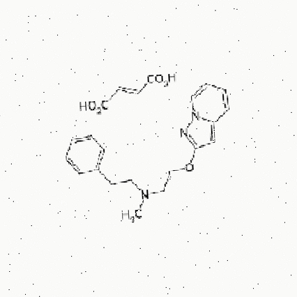 CN(CCOc1cc2ccccn2n1)CCc1ccccc1.O=C(O)C=CC(=O)O